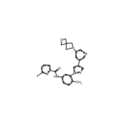 Cc1ccc(NC(=O)c2cccc(F)n2)cc1-n1cc(-c2cncc(N3CC4(COC4)C3)c2)cn1